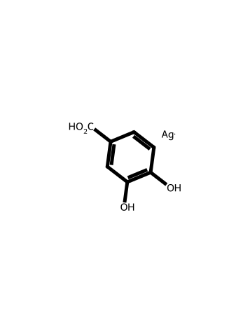 O=C(O)c1ccc(O)c(O)c1.[Ag]